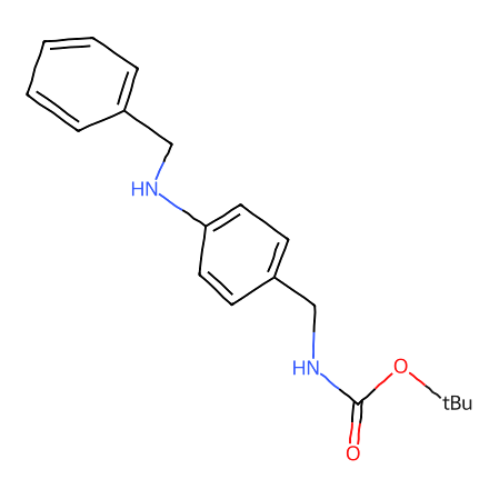 CC(C)(C)OC(=O)NCc1ccc(NCc2ccccc2)cc1